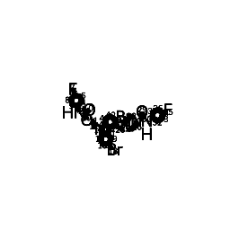 O=C(Nc1ccc(F)cc1)OCCn1c2ccc(Br)cc2c2c(CN3CCN(C(=O)Nc4ccc(F)cc4)CC3)c(Br)ccc21